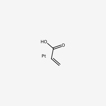 C=CC(=O)O.[Pt]